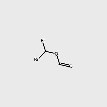 O=[C]OC(Br)Br